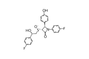 O=C1[C@H]([S+]([O-])C[C@H](O)c2ccc(F)cc2)[C@@H](c2ccc(O)cc2)N1c1ccc(F)cc1